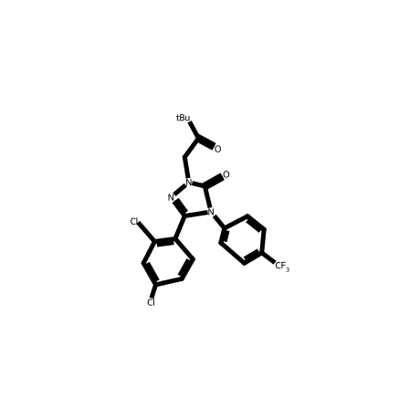 CC(C)(C)C(=O)Cn1nc(-c2ccc(Cl)cc2Cl)n(-c2ccc(C(F)(F)F)cc2)c1=O